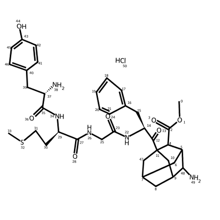 COC(=O)C1C2CC3CC(CC1(C(=O)[C@H](Cc1ccccc1)NC(=O)CNC(=O)[C@@H](CCSC)NC(=O)[C@@H](N)Cc1ccc(O)cc1)C3)C2N.Cl